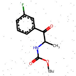 CC(NC(=O)OC(C)(C)C)C(=O)c1cccc(F)c1